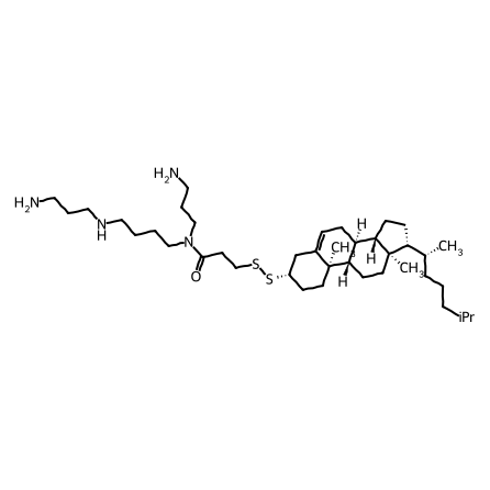 CC(C)CCC[C@@H](C)[C@H]1CC[C@H]2[C@@H]3CC=C4C[C@@H](SSCCC(=O)N(CCCN)CCCCNCCCN)CC[C@]4(C)[C@H]3CC[C@]12C